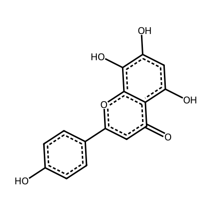 O=c1cc(-c2ccc(O)cc2)oc2c(O)c(O)cc(O)c12